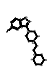 Fc1ccc2onc(N3CCN(CCC4CCCCC4)CC3)c2c1